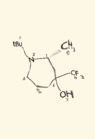 C[C@H]1N(C(C)(C)C)CCC1(O)C(F)(F)F